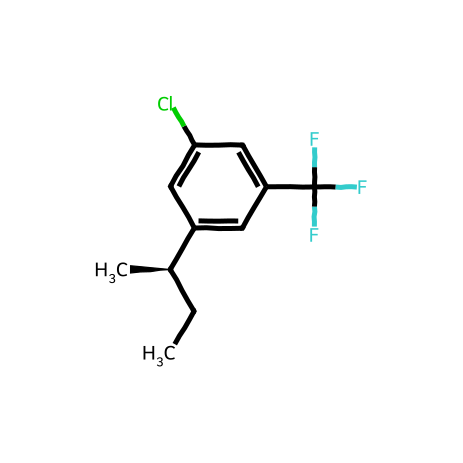 CC[C@@H](C)c1cc(Cl)cc(C(F)(F)F)c1